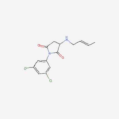 CC=CCNC1CC(=O)N(c2cc(Cl)cc(Cl)c2)C1=O